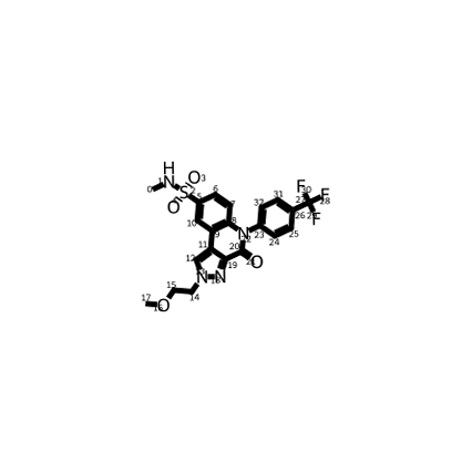 CNS(=O)(=O)c1ccc2c(c1)c1cn(CCOC)nc1c(=O)n2-c1ccc(C(F)(F)F)cc1